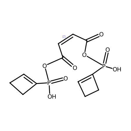 O=C(/C=C\C(=O)OP(=O)(O)C1=CCC1)OP(=O)(O)C1=CCC1